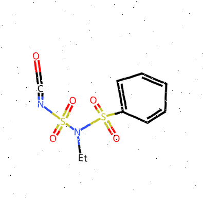 CCN(S(=O)(=O)N=C=O)S(=O)(=O)c1ccccc1